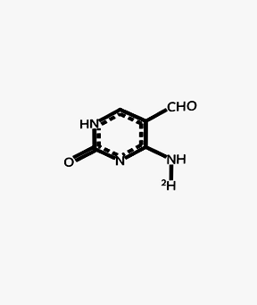 [2H]Nc1nc(=O)[nH]cc1C=O